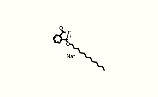 CCCCCCCCCCCCOC(=O)c1ccccc1C(=O)[O-].[Na+]